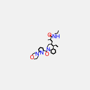 C=CC1=C(/C=C(\C)C(=O)NCCC)CCN(C(=O)c2cccc(N3CCCOCC3)n2)c2ccccc21